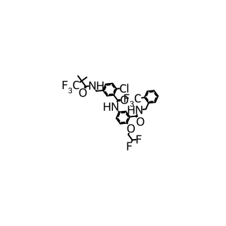 CC(C)(C(=O)NCc1ccc(Cl)c(C(=O)Nc2ccc(OCC(F)F)c(C(=O)NCc3ccccc3C(F)(F)F)c2)c1)C(F)(F)F